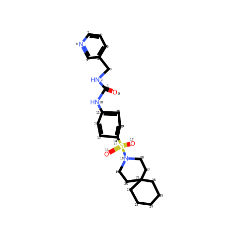 O=C(NCc1cccnc1)Nc1ccc(S(=O)(=O)N2CCC3(CCCCC3)CC2)cc1